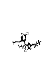 CC(C)(C)[Si](C)(C)OCc1cc(C(O)c2cc(Cl)ncc2CCI)c(Cl)s1